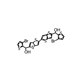 OC(C1=CC2SC(c3cc4sc(C(O)c5sccc5Br)cc4s3)=CC2S1)c1sccc1Br